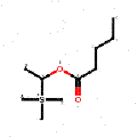 CCCCC(=O)OC(C)[Si](C)(C)C